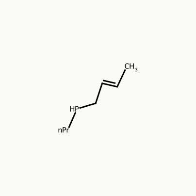 CC=CCPCCC